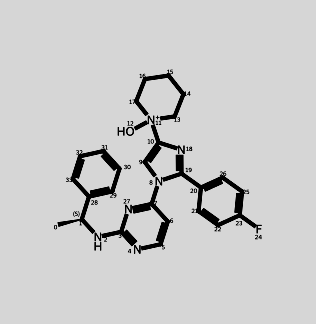 C[C@H](Nc1nccc(-n2cc([N+]3(O)CCCCC3)nc2-c2ccc(F)cc2)n1)c1ccccc1